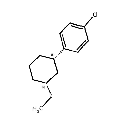 CC[C@@H]1CCC[C@H](c2ccc(Cl)cc2)C1